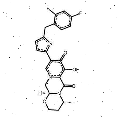 C[C@@H]1CCO[C@H]2Cn3cc(-c4ccc(Cc5ccc(F)cc5F)s4)c(=O)c(O)c3C(=O)N12